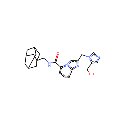 O=C(NCC12CC3CC(CC(C3)C1)C2)c1cccc2nc(Cn3cncc3CO)cn12